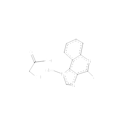 CCC(=O)O.CCCCn1cnc2c(Cl)nc3ccccc3c21